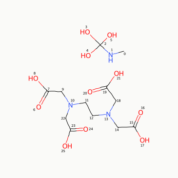 CNC(O)(O)O.O=C(O)CN(CCN(CC(=O)O)CC(=O)O)CC(=O)O